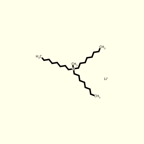 CCCCCCC[CH2][Al-]([CH3])([CH2]CCCCCCC)[CH2]CCCCCCC.[Li+]